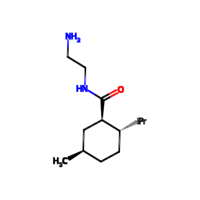 CC(C)[C@@H]1CC[C@@H](C)C[C@H]1C(=O)NCCN